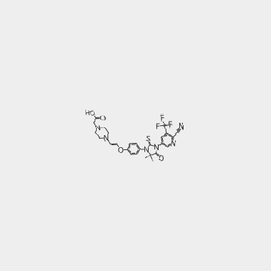 CC1(C)C(=O)N(c2cnc(C#N)c(C(F)(F)F)c2)C(=S)N1c1ccc(OCCN2CCN(CC(=O)O)CC2)cc1